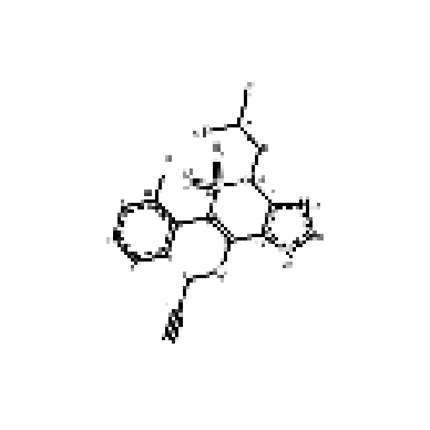 C#CCOC1=C(c2ccccc2I)S(=O)(=O)N(CC(F)F)c2ncsc21